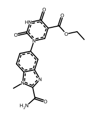 CCOC(=O)c1cn(-c2ccc3c(c2)nc(C(N)=O)n3C)c(=O)[nH]c1=O